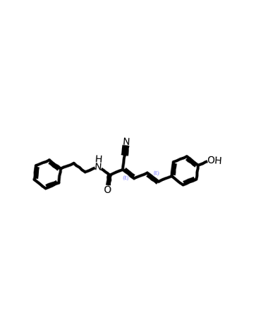 N#C/C(=C\C=C\c1ccc(O)cc1)C(=O)NCCc1ccccc1